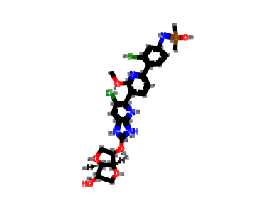 COc1nc(-c2ccc(N=S(C)(C)=O)cc2F)ccc1-c1nc2[nH]c(O[C@@H]3CO[C@H]4[C@@H]3OC[C@H]4O)nc2cc1Cl